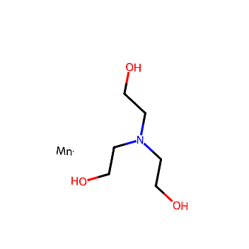 OCCN(CCO)CCO.[Mn]